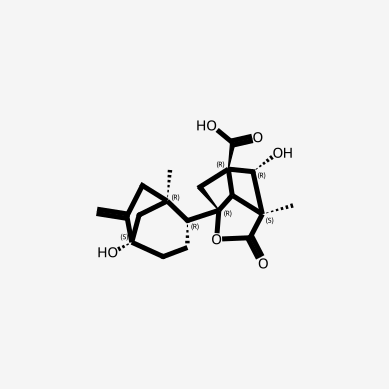 C=C1C[C@]2(C)C[C@@]1(O)CC[C@H]2[C@]12C[C@@]3(C(=O)O)C1[C@](C)(C(=O)O2)[C@H]3O